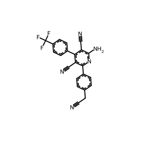 N#CCc1ccc(-c2nc(N)c(C#N)c(-c3ccc(C(F)(F)F)cc3)c2C#N)cc1